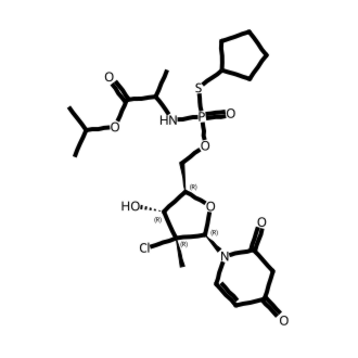 CC(C)OC(=O)C(C)NP(=O)(OC[C@H]1O[C@@H](N2C=CC(=O)CC2=O)[C@](C)(Cl)[C@@H]1O)SC1CCCC1